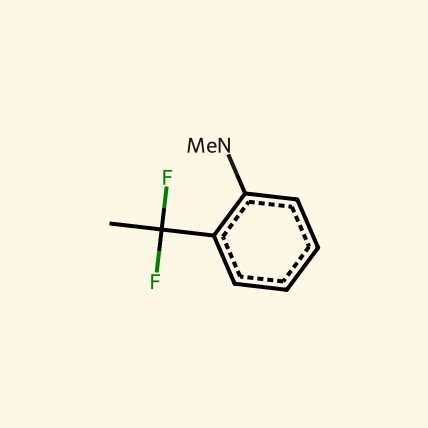 CNc1ccccc1C(C)(F)F